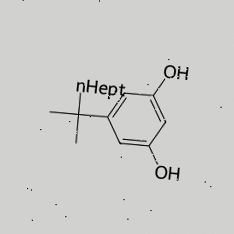 CCCCCCCC(C)(C)c1cc(O)cc(O)c1